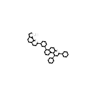 c1ccc(-c2cc(-c3ccccc3)c3c(ccc4c(-c5cccc(-c6ccc7ccc8cc[nH]c8c7n6)c5)cccc43)n2)cc1